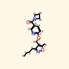 CCCCc1noc(C)c1COc1ccc(C(=O)N2CCC2)cn1